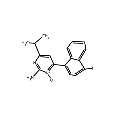 CC(C)c1cc(-c2ccc(F)c3ccccc23)[n+]([O-])c(N)n1